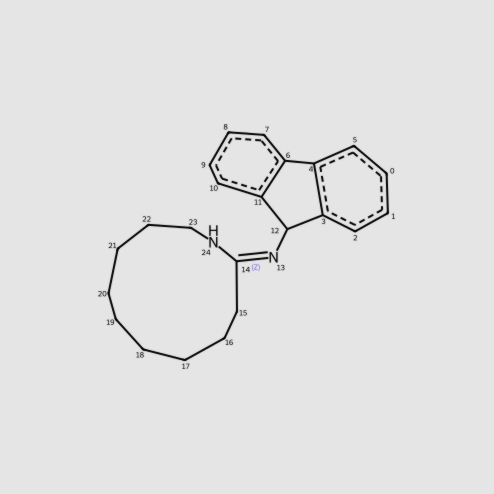 c1ccc2c(c1)-c1ccccc1C2/N=C1/CCCCCCCCCN1